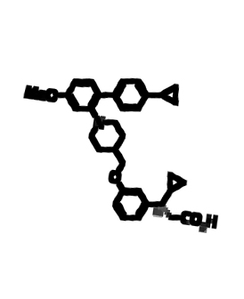 COc1ccc(-c2ccc(C3CC3)cc2)c(N2CCC(COc3cccc([C@@H](CC(=O)O)C4CC4)c3)CC2)c1